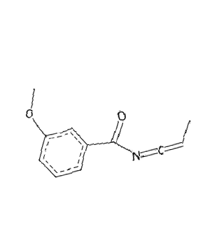 CC=C=NC(=O)c1cccc(OC)c1